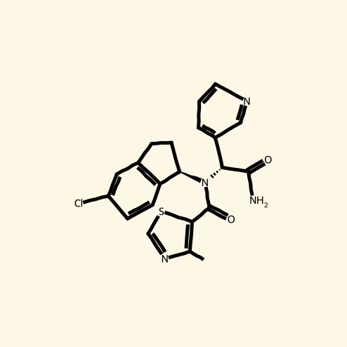 Cc1ncsc1C(=O)N([C@@H]1CCc2cc(Cl)ccc21)[C@@H](C(N)=O)c1cccnc1